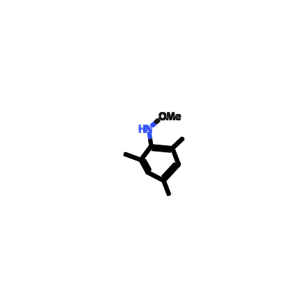 CONc1c(C)cc(C)cc1C